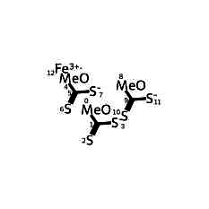 COC(=S)[S-].COC(=S)[S-].COC(=S)[S-].[Fe+3]